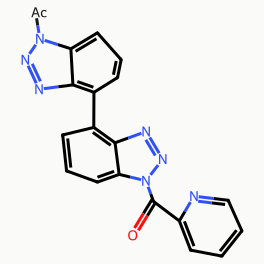 CC(=O)n1nnc2c(-c3cccc4c3nnn4C(=O)c3ccccn3)cccc21